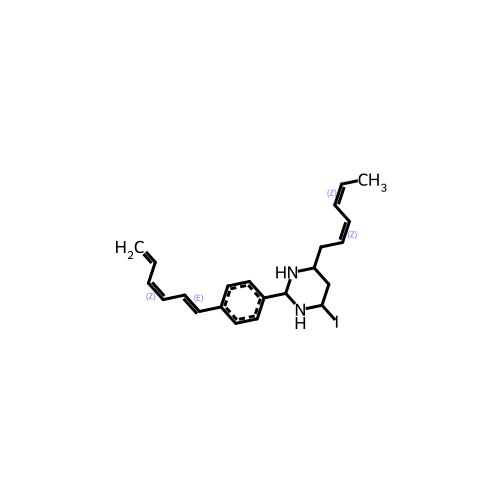 C=C/C=C\C=C\c1ccc(C2NC(I)CC(C/C=C\C=C/C)N2)cc1